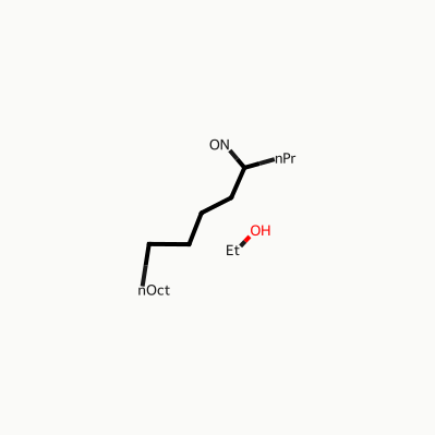 CCCCCCCCCCCCC(CCC)N=O.CCO